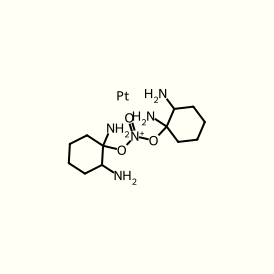 NC1CCCCC1(N)O[N+](=O)OC1(N)CCCCC1N.[Pt]